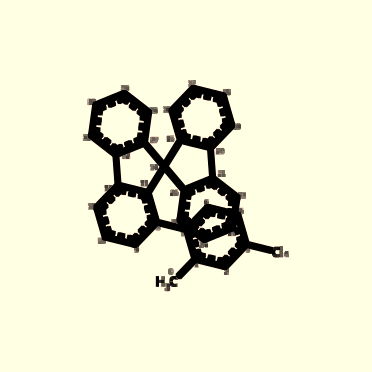 Cc1cc(Cl)ccc1-c1cccc2c1C1(c3ccccc3-c3ccccc31)c1ccccc1-2